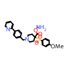 COc1ccc(S(=O)(=O)C2(C(=O)ON)CCN(Cc3ccc(-c4ccccn4)cc3)CC2)cc1